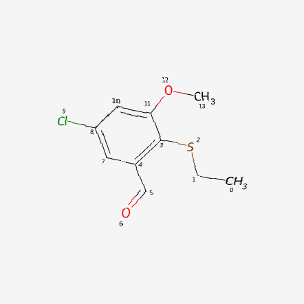 CCSc1c(C=O)cc(Cl)cc1OC